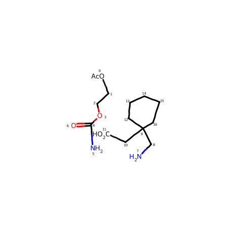 CC(=O)OCCOC(N)=O.NCC1(CC(=O)O)CCCCC1